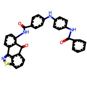 O=C(Nc1ccc(Nc2ccc(C(=O)Nc3cccc4c3C(=O)c3cccc5snc-4c35)cc2)cc1)c1ccccc1